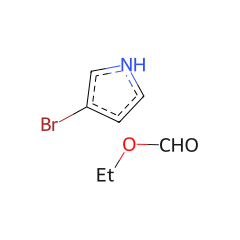 Brc1cc[nH]c1.CCOC=O